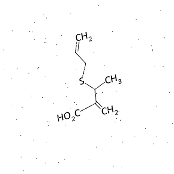 C=CCSC(C)C(=C)C(=O)O